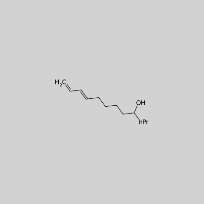 C=C/C=C/CCCCC(O)CCC